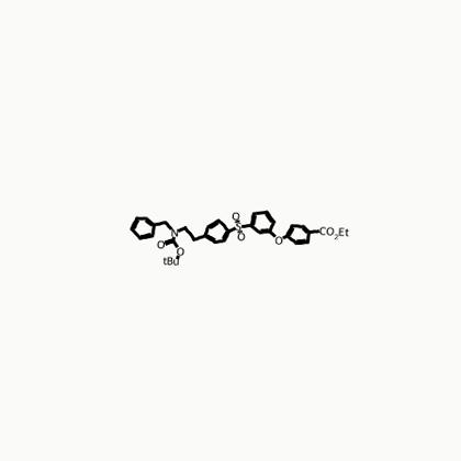 CCOC(=O)c1ccc(Oc2cccc(S(=O)(=O)c3ccc(CCN(Cc4ccccc4)C(=O)OC(C)(C)C)cc3)c2)cc1